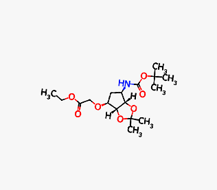 CCOC(=O)CO[C@H]1C[C@@H](NC(=O)OC(C)(C)C)[C@@H]2OC(C)(C)O[C@@H]21